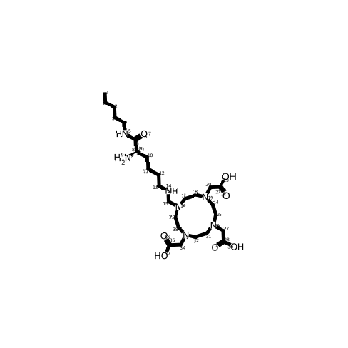 CCCCCNC(=O)[C@H](N)CCCCNCN1CCN(CC(=O)O)CCN(CC(=O)O)CCN(CC(=O)O)CC1